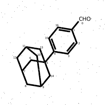 O=[C]c1ccc(C23CC4CC(CC(C4)C2)C3)cc1